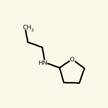 CCCNC1CCCO1